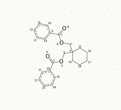 O=C(OCC1(COC(=O)c2ccccc2)CCCCC1)c1ccccc1